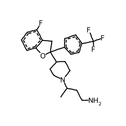 CC(CCN)N1CCC(C2(c3ccc(C(F)(F)F)cc3)Cc3c(F)cccc3O2)CC1